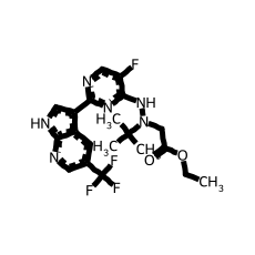 CCOC(=O)CN(Nc1nc(-c2c[nH]c3ncc(C(F)(F)F)cc23)ncc1F)C(C)(C)C